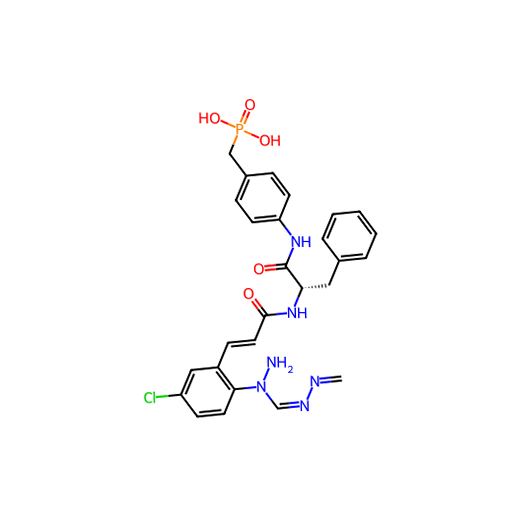 C=N/N=C\N(N)c1ccc(Cl)cc1/C=C/C(=O)N[C@@H](Cc1ccccc1)C(=O)Nc1ccc(CP(=O)(O)O)cc1